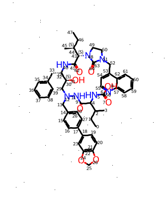 CCC(C)C(NC(=O)O)C(=O)NN(Cc1ccc(-c2ccc3c(c2)OCO3)cc1)C[C@H](O)[C@H](Cc1ccccc1)NC(=O)[C@H]([C@@H](C)CC)N1CCN(Cc2ccnc3ccccc23)C1=O